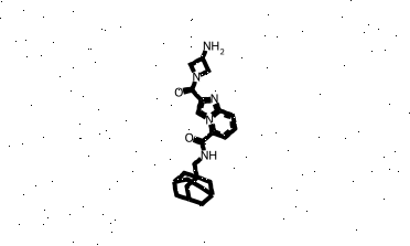 NC1CN(C(=O)c2cn3c(C(=O)NCC45CC6CC(CC(C6)C4)C5)cccc3n2)C1